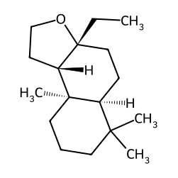 CC[C@@]12CC[C@H]3C(C)(C)CCC[C@@]3(C)[C@@H]1CCO2